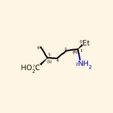 CC[C@@H](N)CC[C@H](C)C(=O)O